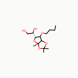 CCCCOC1C2OC(C)(C)O[C@@H]2O[C@@H]1C(O)CO